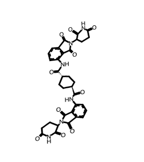 O=C1CCC(N2C(=O)c3cccc(NC(=O)[C@H]4CC[C@H](C(=O)Nc5cccc6c5C(=O)N(C5CCC(=O)NC5=O)C6=O)CC4)c3C2=O)C(=O)N1